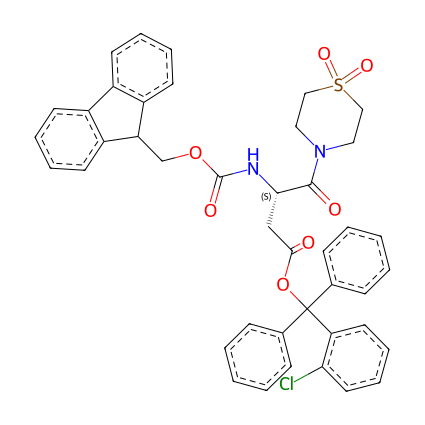 O=C(C[C@H](NC(=O)OCC1c2ccccc2-c2ccccc21)C(=O)N1CCS(=O)(=O)CC1)OC(c1ccccc1)(c1ccccc1)c1ccccc1Cl